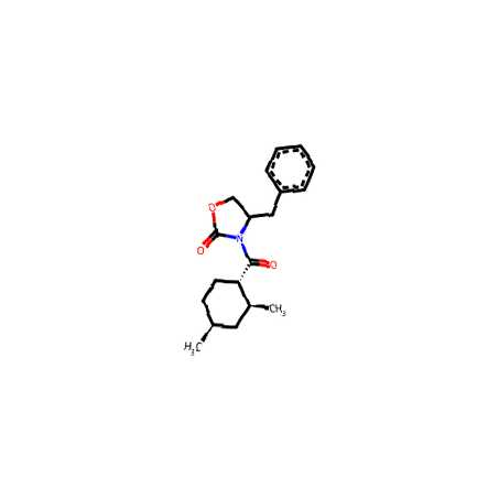 C[C@H]1CC[C@H](C(=O)N2C(=O)OCC2Cc2ccccc2)[C@@H](C)C1